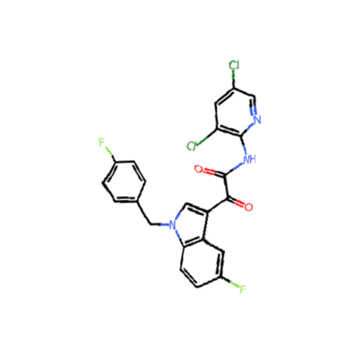 O=C(Nc1ncc(Cl)cc1Cl)C(=O)c1cn(Cc2ccc(F)cc2)c2ccc(F)cc12